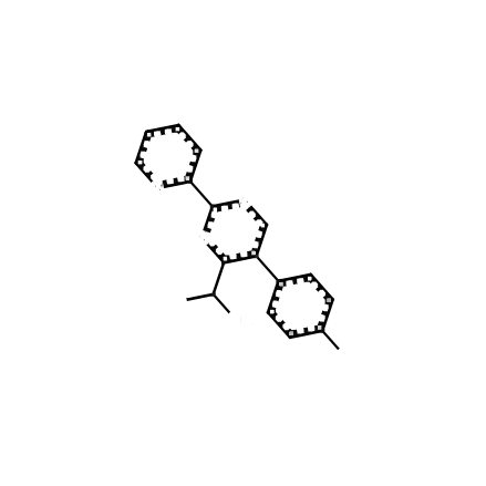 CC(C)c1nc(-c2ccccn2)ncc1-c1ccc(Cl)cc1